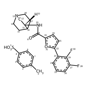 Cc1ccc(S(=O)(=O)O)cc1.O=C(N[C@H]1CN2CCC1CC2)c1ccc(-c2cccc(F)c2F)o1